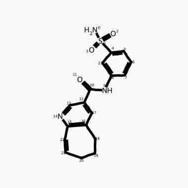 NS(=O)(=O)c1cccc(NC(=O)c2cnc3c(c2)CCCC=C3)c1